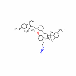 C=C(/C=C/C1=C(Oc2ccc(CCN=[N+]=[N-])cc2)C(=C/C=C2/C(CCCC)c3ccc(S(=O)(=O)O)cc3C2(C)C)/CCC1)C(C)(C)c1cc(S(=O)(=O)O)ccc1C